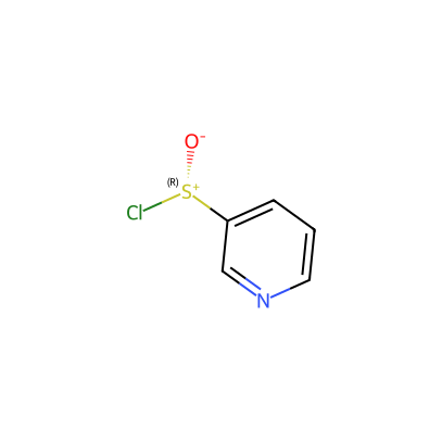 [O-][S@@+](Cl)c1cccnc1